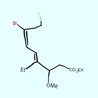 CCOC(=O)CC(OC)/C(=C/C=C(/Br)CF)CC